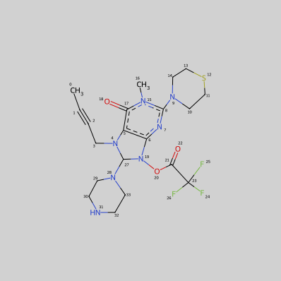 CC#CCN1c2c(nc(N3CCSCC3)n(C)c2=O)N(OC(=O)C(F)(F)F)C1N1CCNCC1